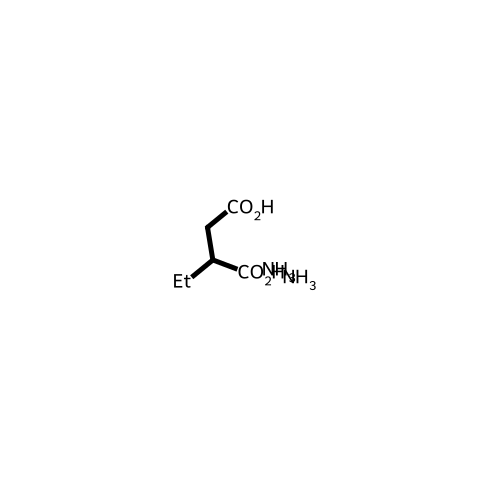 CCC(CC(=O)O)C(=O)O.N.N